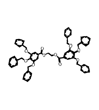 O=C(OCCOC(=O)c1cc(OCc2ccccc2)c(OCc2ccccc2)c(OCc2ccccc2)c1)c1cc(OCc2ccccc2)c(OCc2ccccc2)c(OCc2ccccc2)c1